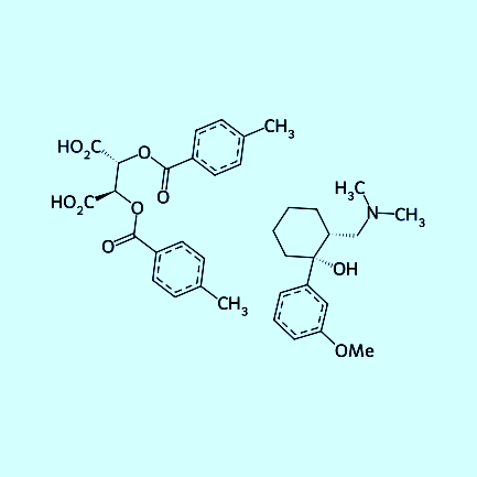 COc1cccc([C@@]2(O)CCCC[C@@H]2CN(C)C)c1.Cc1ccc(C(=O)O[C@@H](C(=O)O)[C@@H](OC(=O)c2ccc(C)cc2)C(=O)O)cc1